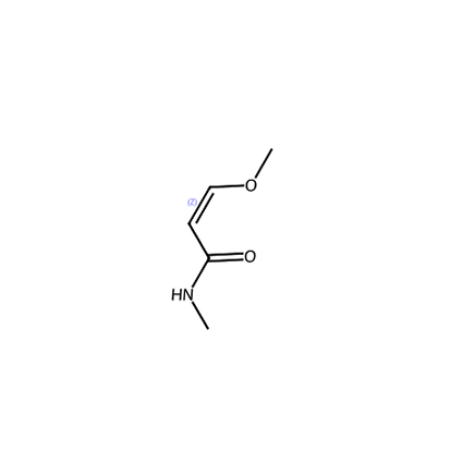 CNC(=O)/C=C\OC